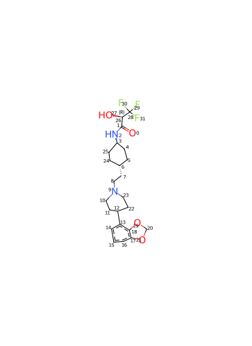 O=C(N[C@H]1CC[C@H](CCN2CCC(c3cccc4c3OCO4)CC2)CC1)[C@@H](O)C(F)(F)F